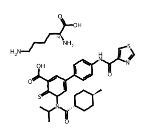 CC(C)N(C(=O)[C@H]1CC[C@H](C)CC1)C1C=C(c2ccc(NC(=O)c3cscn3)cc2)C=C(C(=O)O)C1=S.NCCCC[C@H](N)C(=O)O